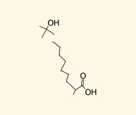 CC(C)(C)O.CCCCCCCC(C)C(=O)O